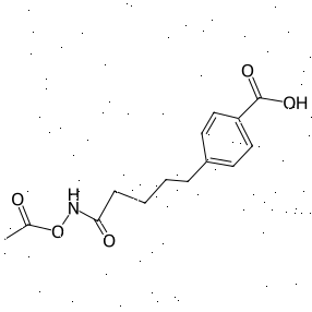 CC(=O)ONC(=O)CCCCc1ccc(C(=O)O)cc1